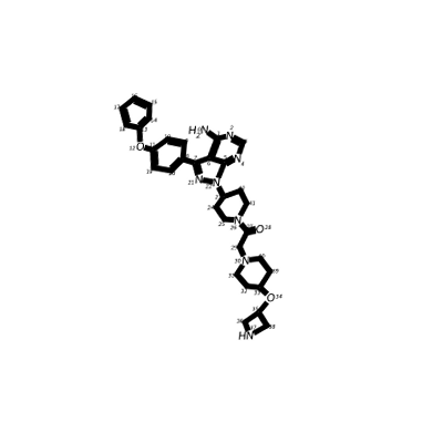 Nc1ncnc2c1c(-c1ccc(Oc3ccccc3)cc1)nn2C1CCN(C(=O)CN2CCC(OC3CNC3)CC2)CC1